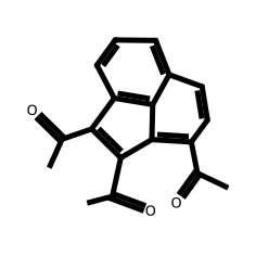 CC(=O)C1=C(C(C)=O)c2c(C(C)=O)ccc3cccc1c23